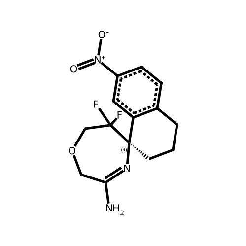 NC1=N[C@@]2(CCCc3ccc([N+](=O)[O-])cc32)C(F)(F)COC1